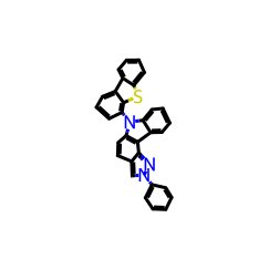 c1ccc(-n2cc3ccc4c(c5ccccc5n4-c4cccc5c4sc4ccccc45)c3n2)cc1